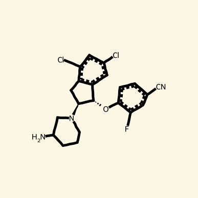 N#Cc1ccc(O[C@H]2c3cc(Cl)cc(Cl)c3C[C@@H]2N2CCCC(N)C2)c(F)c1